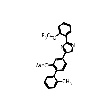 COc1cc(C2=NC(c3ccccc3OC(F)(F)F)=NC2)ccc1-c1ccccc1C